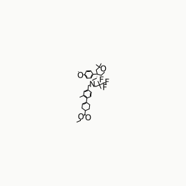 CCOC(=O)C1CC=C(c2ccc(CN(CC[C@@]3(c4ccc(OC)cc4)CCOC(C)(C)C3)CC(C)(C)C(F)(F)F)cc2C)CC1